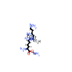 CCOC(N)=O.NCCCCC(N)C(=O)O.NCCCCC(N)C(=O)ON